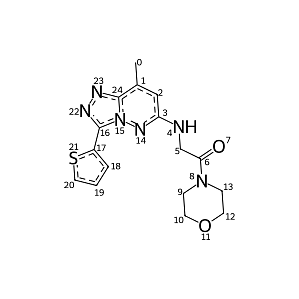 Cc1cc(NCC(=O)N2CCOCC2)nn2c(-c3cccs3)nnc12